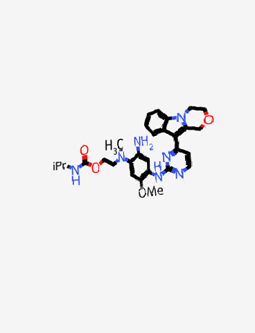 COc1cc(N(C)CCOC(=O)NC(C)C)c(N)cc1Nc1nccc(-c2c3n(c4ccccc24)CCOC3)n1